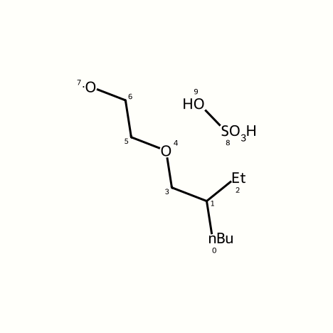 CCCCC(CC)COCC[O].O=S(=O)(O)O